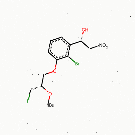 CCCCO[C@H](CF)COc1cccc([C@H](O)C[N+](=O)[O-])c1Br